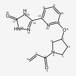 C=CC(=O)N1CCC(Oc2cccc(-c3n[nH]c(=O)[nH]3)n2)C1